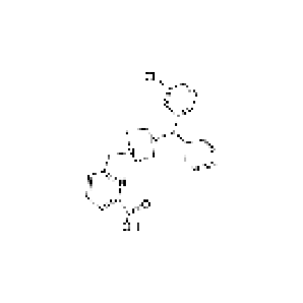 O=C(O)c1cccc(CN2CCN(C(c3ccccc3)c3cccc(Cl)c3)CC2)n1